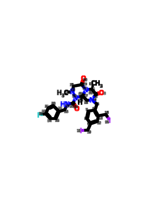 C[C@H]1C(=O)N(Cc2ccc(CI)cc2CI)C[C@H]2N1C(=O)CN(C)N2C(=O)NCc1ccc(F)cc1